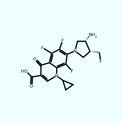 N[C@H]1CN(c2c(F)c(F)c3c(=O)c(C(=O)O)cn(C4CC4)c3c2F)C[C@H]1CF